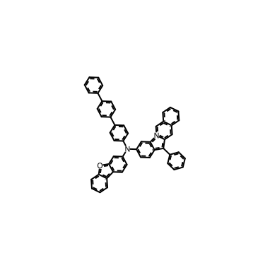 c1ccc(-c2ccc(-c3ccc(N(c4ccc5c(c4)oc4ccccc45)c4ccc5c(-c6ccccc6)c6cc7ccccc7cn6c5c4)cc3)cc2)cc1